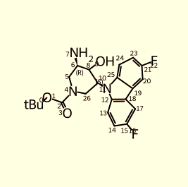 CC(C)(C)OC(=O)N1C[C@@H](N)C(O)[C@@H](n2c3ccc(F)cc3c3cc(F)ccc32)C1